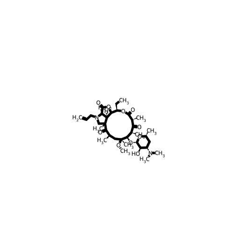 C=CCN1C[C@@]2(C)C(=O)[C@H](C)C[C@](C)(OC)[C@H](O[C@@H]3O[C@H](C)C[C@H](N(C)C)[C@H]3O)[C@@H](C)C(=O)[C@@H](C)C(=O)O[C@H](CC)[C@@]3(C)OC(=O)[C@H]1[C@@H]32